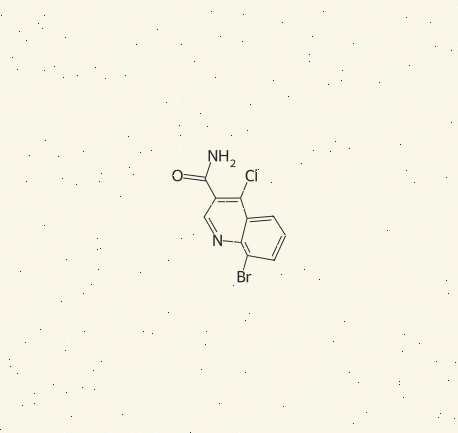 NC(=O)c1cnc2c(Br)cccc2c1Cl